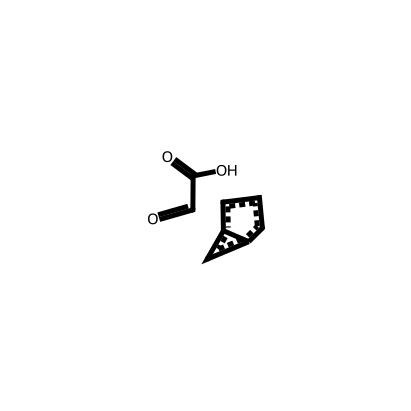 O=CC(=O)O.c1cc2cc-2c1